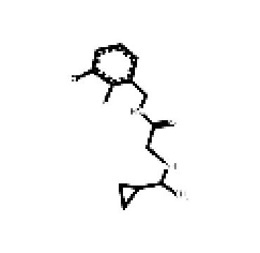 CC(NCC(=O)NCc1cccc(Cl)c1F)C1CC1